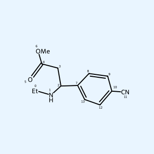 CCNC(CC(=O)OC)c1ccc(C#N)cc1